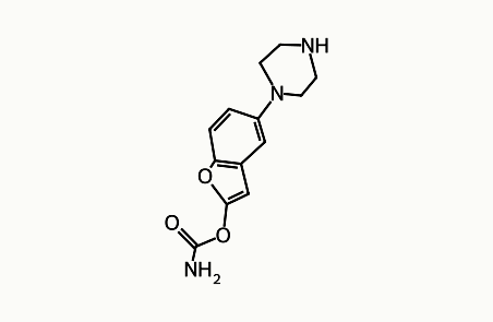 NC(=O)Oc1cc2cc(N3CCNCC3)ccc2o1